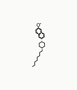 CCCCCCCC[C@H]1CC[C@H](c2ccc3cc(OC)ccc3c2)CC1